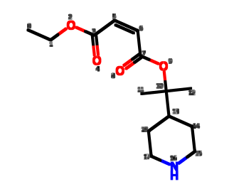 CCOC(=O)/C=C\C(=O)OC(C)(C)C1CCNCC1